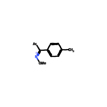 CO/N=C(/C(C)=O)c1ccc(C)cc1